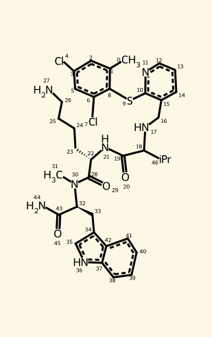 Cc1cc(Cl)cc(Cl)c1Sc1ncccc1CNC(C(=O)N[C@@H](CCCCN)C(=O)N(C)[C@@H](Cc1c[nH]c2ccccc12)C(N)=O)C(C)C